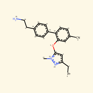 CC(C)Cc1cc(Oc2cc(C#N)ccc2-c2ccc(CCN)cc2)n(C)n1